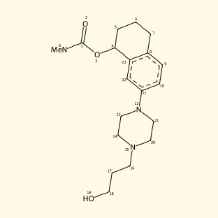 CNC(=O)OC1CCCc2ccc(N3CCN(CCCO)CC3)cc21